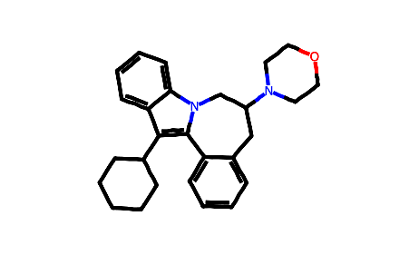 c1ccc2c(c1)CC(N1CCOCC1)Cn1c-2c(C2CCCCC2)c2ccccc21